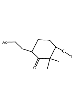 CC(=O)CCC1CCC(CI)C(C)(C)C1=O